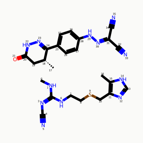 CN/C(=N/C#N)NCCSCc1nc[nH]c1C.C[C@@H]1CC(=O)NN=C1c1ccc(NN=C(C#N)C#N)cc1